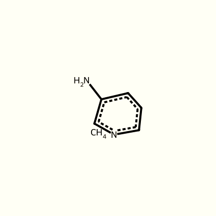 C.Nc1cccnc1